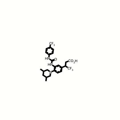 CC1CC(C)CN(c2ccc(C(CC(=O)O)C(F)(F)F)cc2NC(=O)Nc2ccc(C(F)(F)F)cc2)C1